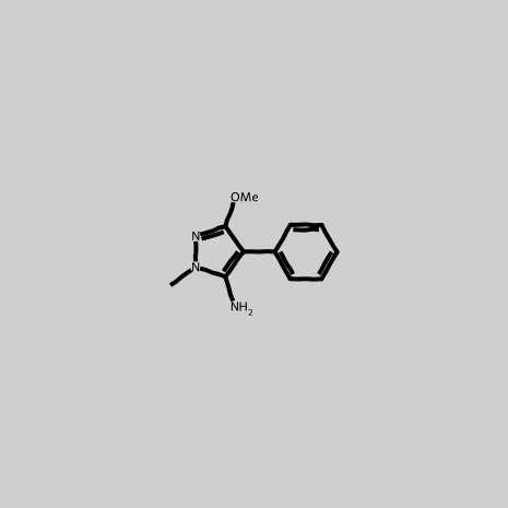 COc1nn(C)c(N)c1-c1ccccc1